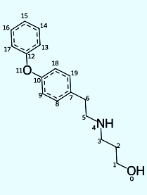 OCCCNCCc1ccc(Oc2ccccc2)cc1